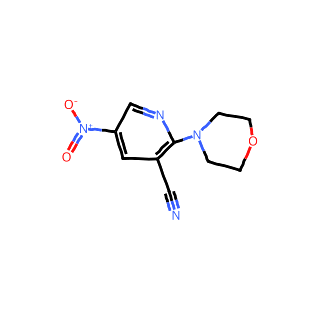 N#Cc1cc([N+](=O)[O-])cnc1N1CCOCC1